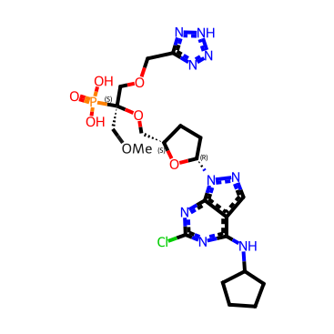 COC[C@](COCc1nn[nH]n1)(OC[C@@H]1CC[C@H](n2ncc3c(NC4CCCC4)nc(Cl)nc32)O1)P(=O)(O)O